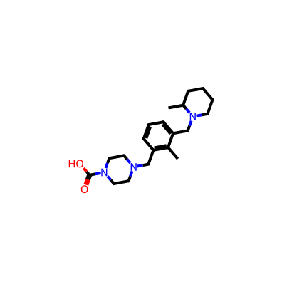 Cc1c(CN2CCN(C(=O)O)CC2)cccc1CN1CCCCC1C